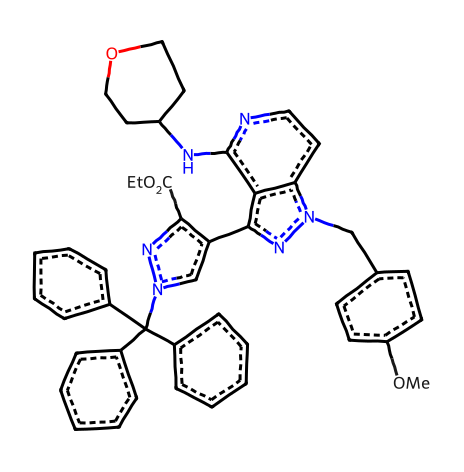 CCOC(=O)c1nn(C(c2ccccc2)(c2ccccc2)c2ccccc2)cc1-c1nn(Cc2ccc(OC)cc2)c2ccnc(NC3CCOCC3)c12